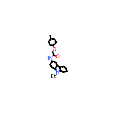 CCn1c2ccccc2c2cc(NC(=O)COc3ccc(C)cc3)ccc21